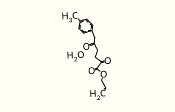 C=CCOC(=O)C(=O)CCC(=O)Cc1ccc(C)cc1.O